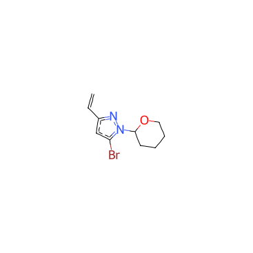 C=Cc1cc(Br)n(C2CCCCO2)n1